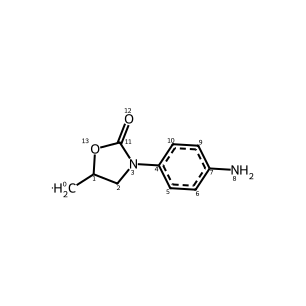 [CH2]C1CN(c2ccc(N)cc2)C(=O)O1